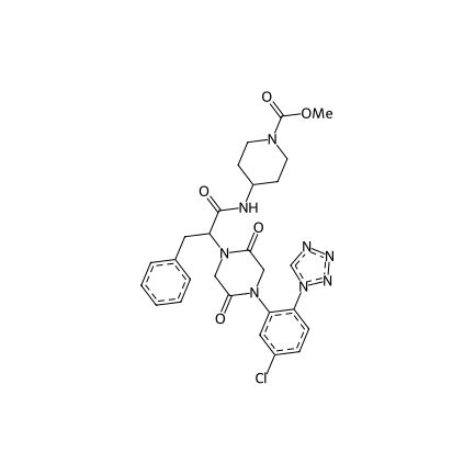 COC(=O)N1CCC(NC(=O)C(Cc2ccccc2)N2CC(=O)N(c3cc(Cl)ccc3-n3cnnn3)CC2=O)CC1